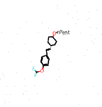 CCCCCO[C@H]1CC[C@H](C=Cc2ccc(OC(F)F)cc2)CC1